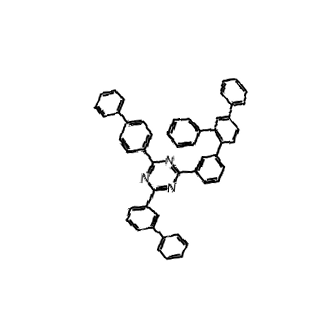 c1ccc(-c2ccc(-c3nc(-c4cccc(-c5ccccc5)c4)nc(-c4cccc(-c5ccc(-c6ccccc6)cc5-c5ccccc5)c4)n3)cc2)cc1